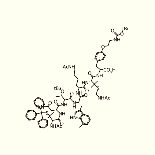 CC(=O)NCCCC[C@H](NC(=O)[C@H](Cc1c[nH]c2c(C)cccc12)NC(=O)[C@@H](NC(=O)[C@H](CC(N)=O)NC(=O)[C@@H](NC(C)=O)C(C)(C)SC(c1ccccc1)(c1ccccc1)c1ccccc1)[C@@H](C)OC(C)(C)C)C(=O)N[C@H](C(=O)N[C@@H](Cc1ccc(OCCNC(=O)OC(C)(C)C)cc1)C(=O)O)C(C)(C)SCNC(C)=O